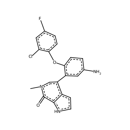 Cn1cc(-c2cc(N)ccc2Oc2ccc(F)cc2Cl)c2cc[nH]c2c1=O